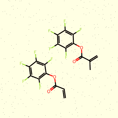 C=C(C)C(=O)Oc1c(F)c(F)c(F)c(F)c1F.C=CC(=O)Oc1c(F)c(F)c(F)c(F)c1F